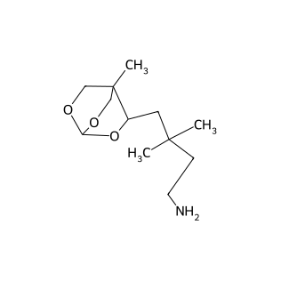 CC(C)(CCN)CC1OC2OCC1(C)CO2